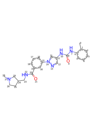 Cc1ccccc1NC(=O)Nc1cnn(-c2cccc(C(=O)NCC3CCN(C)C3)c2)c1